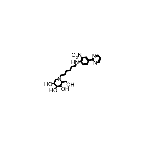 O=[N+]([O-])c1cc(-c2ncccn2)ccc1NCCCCCCN1CC(O)C(O)C(O)C1CO